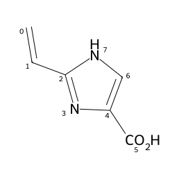 C=Cc1nc(C(=O)O)c[nH]1